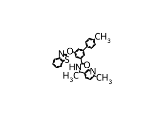 Cc1ccc(-c2cc(Oc3nc4ccccc4s3)cc(C(=O)N[C@H](C)c3ccc(C)nc3)c2)cc1